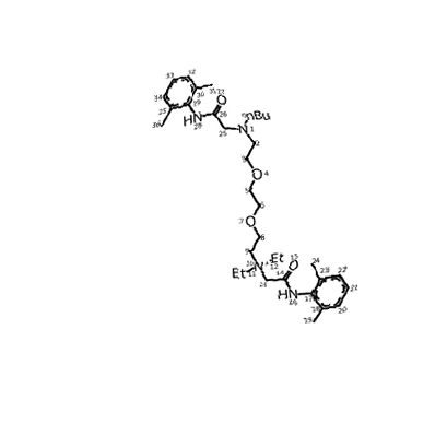 CCCCN(CCOCCOCC[N+](CC)(CC)CC(=O)Nc1c(C)cccc1C)CC(=O)Nc1c(C)cccc1C